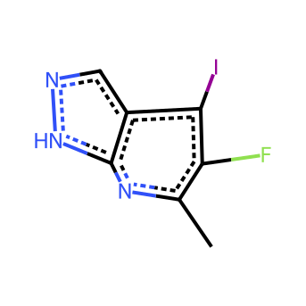 Cc1nc2[nH]ncc2c(I)c1F